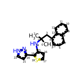 CC(C)(Cc1cccc2ccccc12)Nc1ccsc1-c1cc[nH]n1